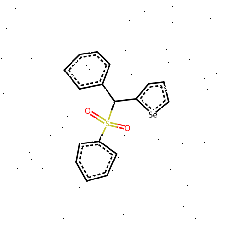 O=S(=O)(c1ccccc1)C(c1ccccc1)c1ccc[se]1